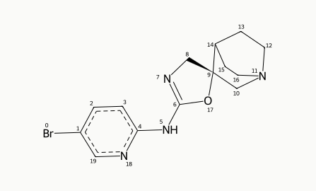 Brc1ccc(NC2=NC[C@@]3(CN4CCC3CC4)O2)nc1